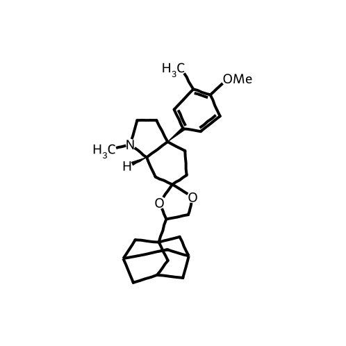 COc1ccc([C@]23CCN(C)[C@H]2CC2(CC3)OCC(C34CC5CC(CC(C5)C3)C4)O2)cc1C